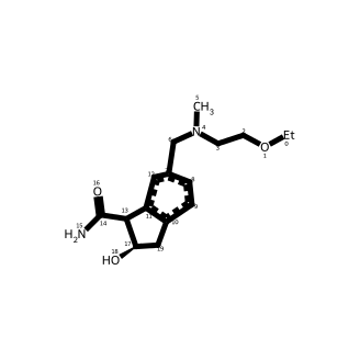 CCOCCN(C)Cc1ccc2c(c1)C(C(N)=O)[C@H](O)C2